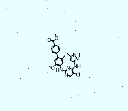 COC(=O)c1ccc(-c2cc(OC)c(Nc3ncc(Cl)c(Nc4cc(C)[nH]n4)n3)cc2C)cc1